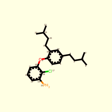 CC(C)CCc1ccc(Oc2cccc(P)c2Cl)c(CCC(C)C)c1